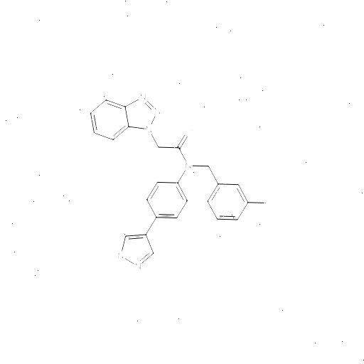 O=C(Cn1nnc2ccccc21)N(Cc1cccc(Cl)c1)c1ccc(-c2cn[nH]c2)cc1